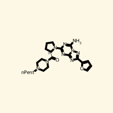 CCCCCN1CCN(C(=O)[C@@H]2CCCN2c2nc(N)n3nc(-c4ccco4)nc3n2)CC1